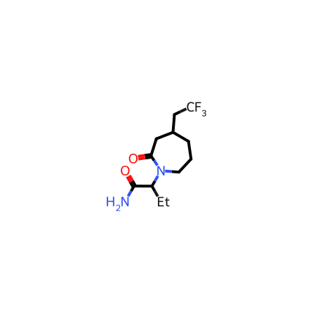 CCC(C(N)=O)N1CCCC(CC(F)(F)F)CC1=O